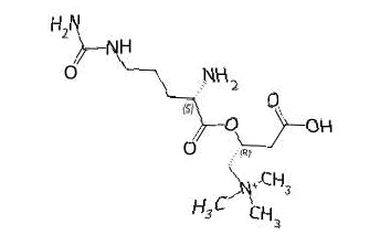 C[N+](C)(C)C[C@@H](CC(=O)O)OC(=O)[C@@H](N)CCCNC(N)=O